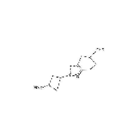 O=CC1CCc2nn(C3CC(C(=O)O)C3)cc2C1